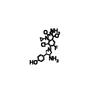 NC1CN(c2c(F)cc3c(=O)n(N)c(=O)n(C4CC4)c3c2Cl)CC1c1ccc(O)cc1